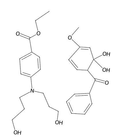 CCOC(=O)c1ccc(N(CCCO)CCCO)cc1.COC1=CC(O)(O)C(C(=O)c2ccccc2)C=C1